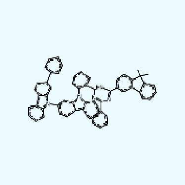 CC1(C)c2ccccc2-c2cc(C3=NC(c4ccccc4)=NC(c4ccccc4-n4c5ccccc5c5ccc(-n6c7ccccc7c7ccc(-c8ccccc8)cc76)cc54)N3)ccc21